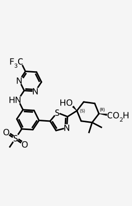 CC1(C)C[C@](O)(c2ncc(-c3cc(Nc4nccc(C(F)(F)F)n4)cc(S(C)(=O)=O)c3)s2)CC[C@H]1C(=O)O